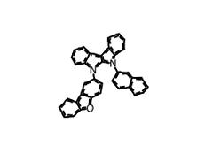 c1ccc2cc(-n3c4ccccc4c4c5ccccc5n(-c5ccc6oc7ccccc7c6c5)c43)ccc2c1